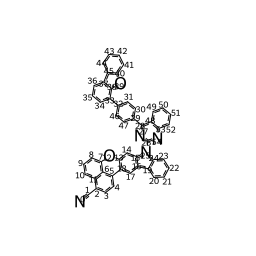 N#Cc1ccc2c3c(cccc13)Oc1cc3c(cc1-2)c1ccccc1n3-c1nc(-c2ccc(-c3cccc4c3oc3ccccc34)cc2)c2ccccc2n1